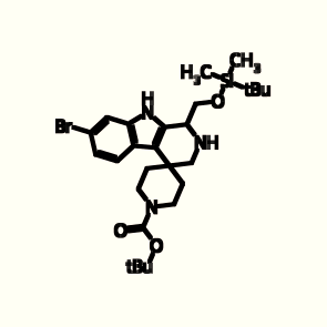 CC(C)(C)OC(=O)N1CCC2(CC1)CNC(CO[Si](C)(C)C(C)(C)C)c1[nH]c3cc(Br)ccc3c12